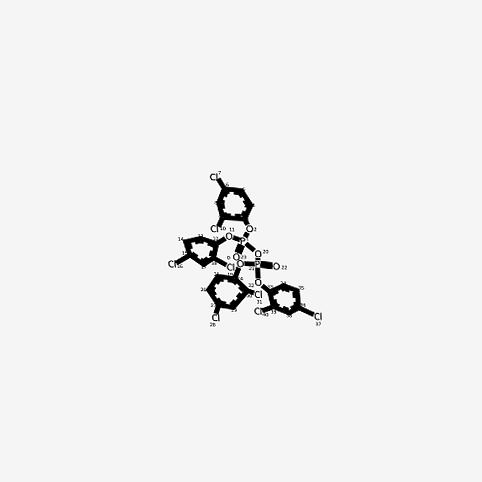 O=P(Oc1ccc(Cl)cc1Cl)(Oc1ccc(Cl)cc1Cl)OP(=O)(Oc1ccc(Cl)cc1Cl)Oc1ccc(Cl)cc1Cl